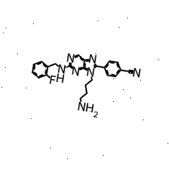 N#Cc1ccc(-c2nc3cnc(NCc4ccccc4F)nc3n2CCCCN)cc1